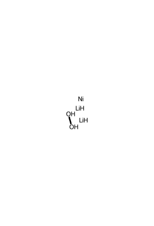 OO.[LiH].[LiH].[Ni]